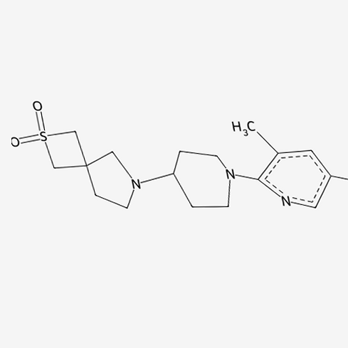 Cc1cc(F)cnc1N1CCC(N2CCC3(C2)CS(=O)(=O)C3)CC1